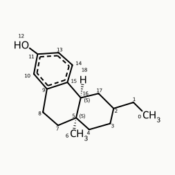 CCC1CC[C@@]2(C)CCc3cc(O)ccc3[C@H]2C1